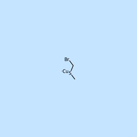 CSCBr.[Cu]